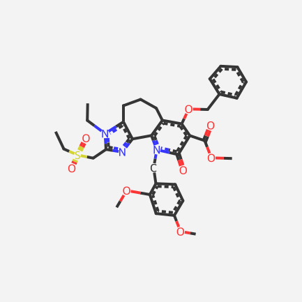 CCn1c(CS(=O)(=O)CC)nc2c1CCCc1c(OCc3ccccc3)c(C(=O)OC)c(=O)n(Cc3ccc(OC)cc3OC)c1-2